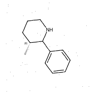 C[C@@H]1CCCNC1c1ccccc1